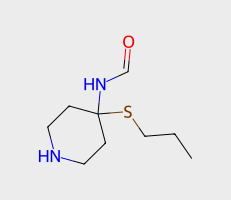 CCCSC1(NC=O)CCNCC1